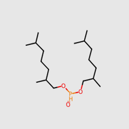 CC(C)CCCC(C)CO[PH](=O)OCC(C)CCCC(C)C